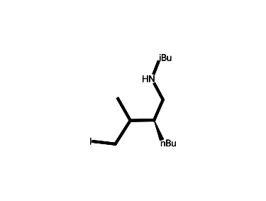 CCCC[C@H](CNC(C)CC)C(C)CI